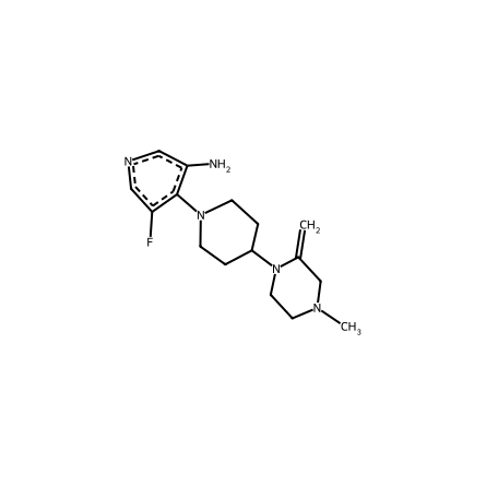 C=C1CN(C)CCN1C1CCN(c2c(N)cncc2F)CC1